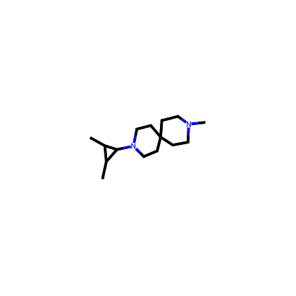 CC1C(C)C1N1CCC2(CCN(C)CC2)CC1